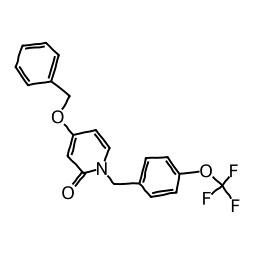 O=c1cc(OCc2ccccc2)ccn1Cc1ccc(OC(F)(F)F)cc1